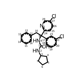 OC(NC1CCCC1)NC(Cc1ccccc1)(c1cccc(Cl)c1)c1ccc(Cl)cn1